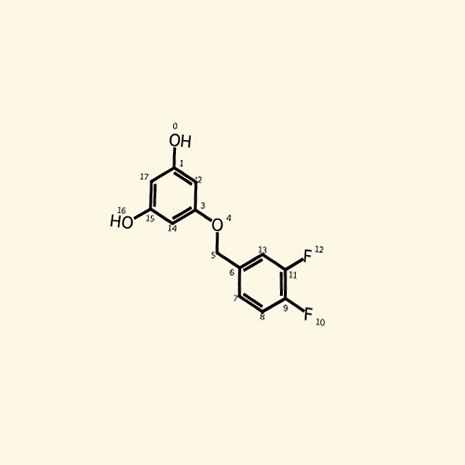 Oc1[c]c(OCc2ccc(F)c(F)c2)cc(O)c1